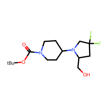 CC(C)(C)OC(=O)N1CCC(N2CC(F)(F)CC2CO)CC1